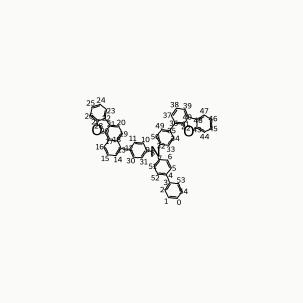 c1ccc(-c2ccc(N(c3ccc(-c4cccc5c4ccc4c6ccccc6oc54)cc3)c3ccc(-c4cccc5c4oc4ccccc45)cc3)cc2)cc1